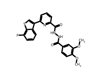 COc1ccc(C(=O)NNC(=O)c2cccc(-c3csc4c(F)cccc34)n2)cc1OC